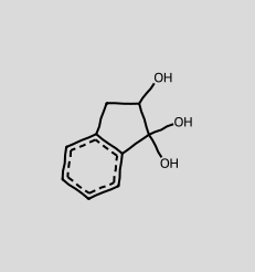 OC1Cc2ccccc2C1(O)O